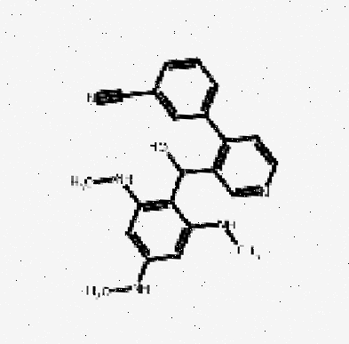 CNc1cc(NC)c(C(O)c2cnccc2-c2cccc(C#N)c2)c(NC)c1